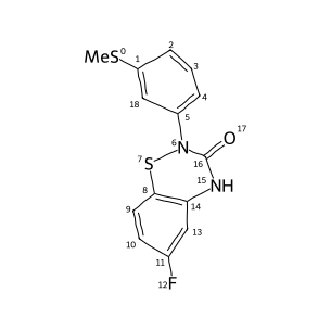 CSc1cccc(N2Sc3ccc(F)cc3NC2=O)c1